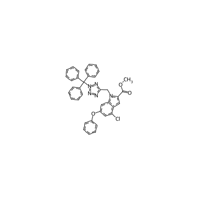 COC(=O)c1cc2c(Cl)cc(Oc3ccccc3)cc2n1Cc1nnn(C(c2ccccc2)(c2ccccc2)c2ccccc2)n1